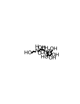 CC(C)(CO[C@@H]1OC(CO)[C@H](O)C(O)C1O)[C@@H](O)C(=O)NCCCO